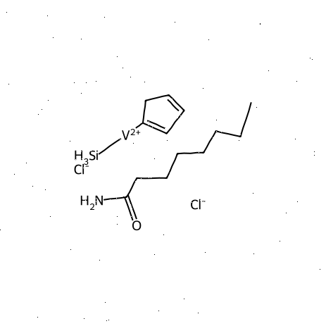 CCCCCCCC(N)=O.[Cl-].[Cl-].[SiH3][V+2][C]1=CC=CC1